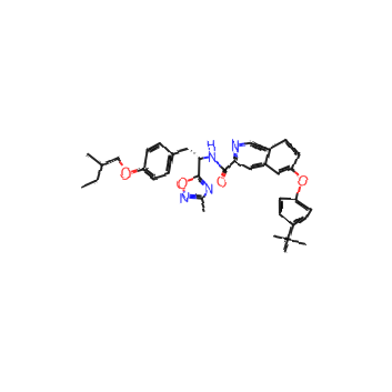 CCC(C)COc1ccc(C[C@H](NC(=O)c2cc3cc(Oc4ccc(C(C)(C)C)cc4)ccc3cn2)c2nc(C)no2)cc1